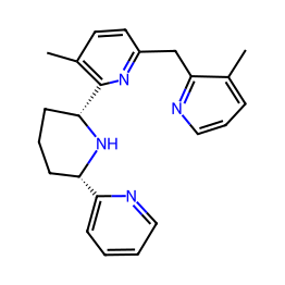 Cc1cccnc1Cc1ccc(C)c([C@H]2CCC[C@@H](c3ccccn3)N2)n1